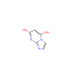 Oc1cc(O)n2ccnc2n1